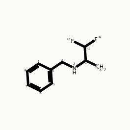 CC(NCc1ccccc1)C(F)F